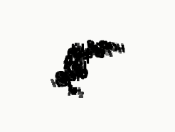 NCCCC[C@H](NC(=O)[C@H](Cc1ccccc1)NC(=O)[C@H](Cc1ccccc1)NC(=O)[C@H](CCC(N)=O)NC(=O)CNC(=O)CNC(=O)[C@H](Cc1ccc(O)cc1)N[N+](=O)[O-])C(=O)O